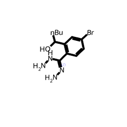 CCCCC(O)c1cc(Br)ccc1/C(=N/N)NN